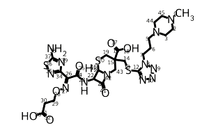 CN1CCN(CCCn2nnnc2SCC2(C(=O)O)CS[C@@H]3C(NC(=O)C(=NOCCC(=O)O)c4nsc(N)n4)C(=O)N3C2)CC1